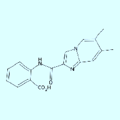 Cc1cc2nc(C(=O)Nc3ccccc3C(=O)O)cn2cc1C